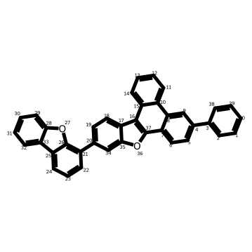 c1ccc(-c2ccc3c(c2)c2ccccc2c2c4ccc(-c5cccc6c5oc5ccccc56)cc4oc32)cc1